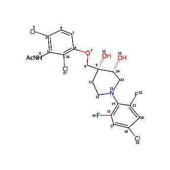 CC(=O)Nc1c(Cl)ccc(OC[C@]2(O)CCN(c3c(F)cc(Cl)cc3F)C[C@H]2O)c1Cl